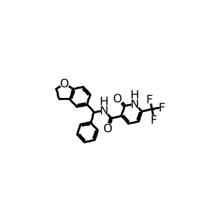 O=C(NC(c1ccccc1)c1ccc2c(c1)CCO2)c1ccc(C(F)(F)F)[nH]c1=O